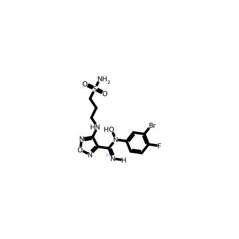 [H]/N=C(/c1nonc1NCCCS(N)(=O)=O)N(O)c1ccc(F)c(Br)c1